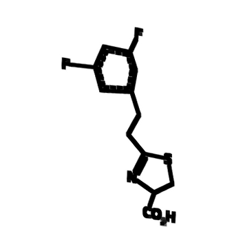 O=C(O)C1CSC(CCc2cc(F)cc(F)c2)=N1